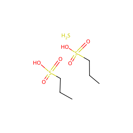 CCCS(=O)(=O)O.CCCS(=O)(=O)O.S